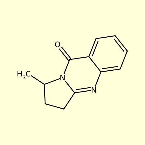 CC1CCc2nc3ccccc3c(=O)n21